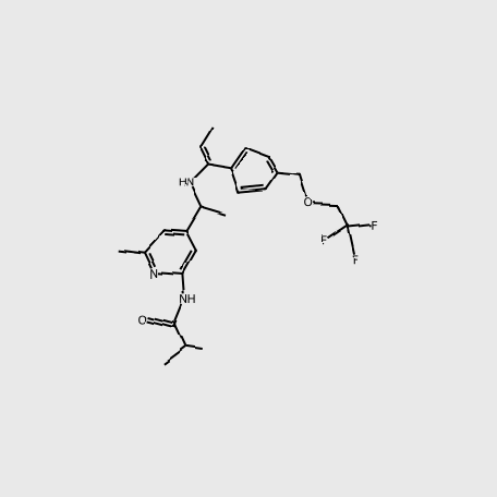 CC=C(NC(C)c1cc(C)nc(NC(=O)C(C)C)c1)c1ccc(COCC(F)(F)F)cc1